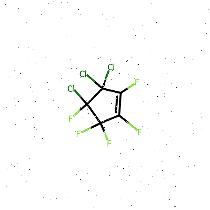 FC1=C(F)C(Cl)(Cl)C(F)(Cl)C1(F)F